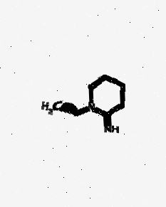 C=CN1CCCCC1=N